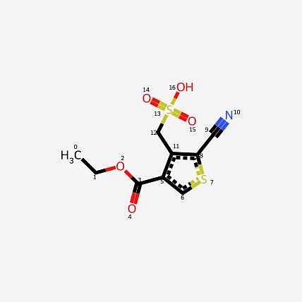 CCOC(=O)c1csc(C#N)c1CS(=O)(=O)O